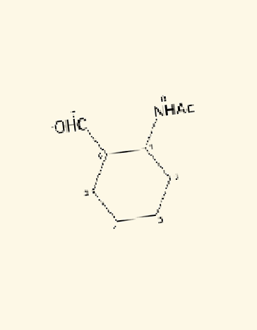 CC(=O)NC1CCCCC1[C]=O